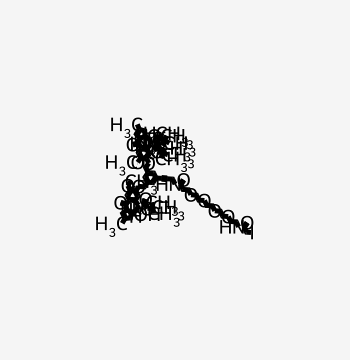 COc1cc2c(cc1OCc1cc(C#CCNC(=O)CCOCCOCCOCCOCCNC(=O)CI)cc(COc3cc4c(cc3OC)C(=O)N3C=C(C)C[C@H]3[C@H](O[Si](C)(C)C(C)(C)C)N4C(=O)OC(C)(C)C)c1)N(C(=O)OC(C)(C)C)[C@@H](O)[C@@H]1CC(C)=CN1C2=O